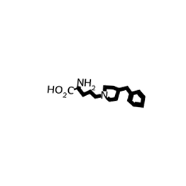 N[C@@H](CCCN1CCC(Cc2ccccc2)CC1)C(=O)O